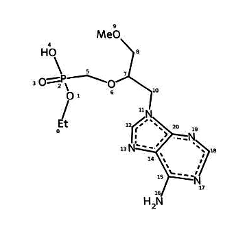 CCOP(=O)(O)COC(COC)Cn1cnc2c(N)ncnc21